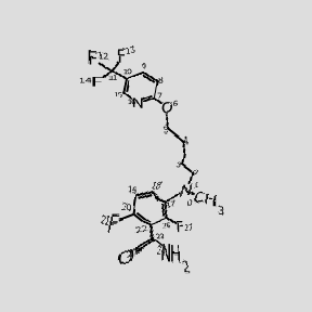 CN(CCCCOc1ccc(C(F)(F)F)cn1)c1ccc(F)c(C(N)=O)c1F